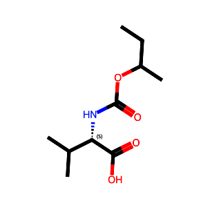 CCC(C)OC(=O)N[C@H](C(=O)O)C(C)C